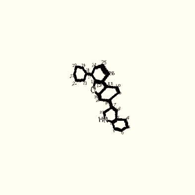 C1=CC2=C(CC1)CC(C1CCC3C4=C(OC3C1)C(C1CCCCC1)CC=C4)CN2